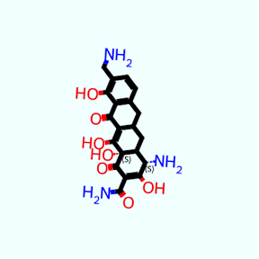 NCc1ccc2c(c1O)C(=O)C1=C(O)[C@]3(O)C(=O)C(C(N)=O)=C(O)[C@@H](N)C3CC1C2